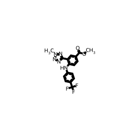 COC(=O)c1ccc(Nc2ccc(C(F)(F)F)cc2)c(-c2nnn(C)n2)c1